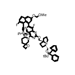 COCOc1cc(-c2ncc3c(N4CCCC5(CCO5)C4)nc(OC[C@@]45CCCN4[C@H](CO[Si](c4ccccc4)(c4ccccc4)C(C)(C)C)CC5)nc3c2F)c2c(C#C[Si](C(C)C)(C(C)C)C(C)C)c(F)ccc2c1